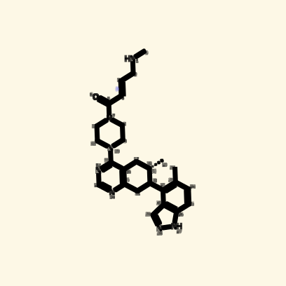 CNC/C=C/C(=O)N1CCN(c2ncnc3c2C[C@H](C)C(c2c(C)ccc4[nH]ncc24)C3)CC1